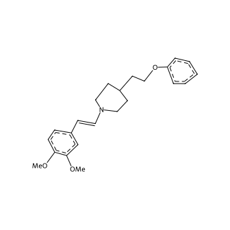 COc1ccc(C=CN2CCC(CCOc3ccccc3)CC2)cc1OC